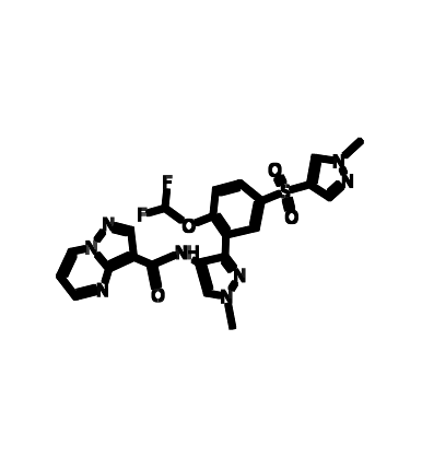 Cn1cc(S(=O)(=O)c2ccc(OC(F)F)c(-c3nn(C)cc3NC(=O)c3cnn4cccnc34)c2)cn1